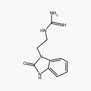 N=C(N)NCCn1c(=O)[nH]c2ccccc21